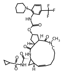 CN1CCCC/C=C\[C@@H]2C[C@@]2(C(=O)NS(=O)(=O)C2CC2)NC(=O)[C@@H]2C[C@@H](OC(=O)Nc3cc(C(F)(F)F)ccc3N3CCCCC3)C[C@H]2C1=O